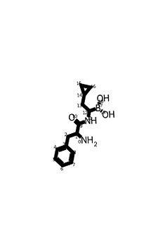 NC(Cc1ccccc1)C(=O)NC(CC1CC1)B(O)O